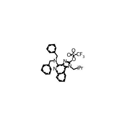 CC(C)Cn1c(OS(=O)(=O)C(F)(F)F)nc2c(N(Cc3ccccc3)Cc3ccccc3)nc3ccccc3c21